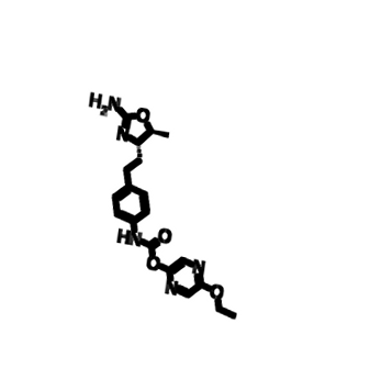 CCOc1cnc(OC(=O)Nc2ccc(CC[C@@H]3N=C(N)O[C@H]3C)cc2)cn1